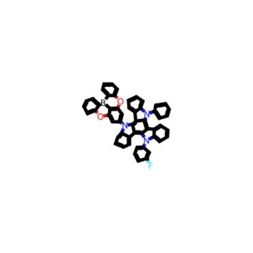 Fc1cccc(-n2c3ccccc3c3c4c(c5ccccc5n4-c4ccccc4)c4c(c5ccccc5n4-c4cc5c6c(c4)Oc4ccccc4B6c4ccccc4O5)c32)c1